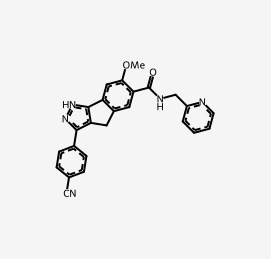 COc1cc2c(cc1C(=O)NCc1ccccn1)Cc1c(-c3ccc(C#N)cc3)n[nH]c1-2